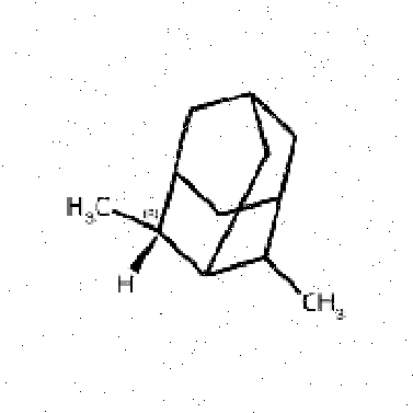 CC1C2CC3CC(C2)[C@@H](C)C1C3